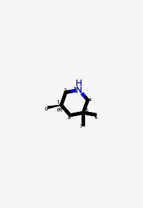 C[C@H]1CNCC(C)(C)C1